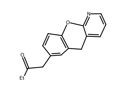 CCC(=O)Cc1ccc2c(c1)Cc1cccnc1O2